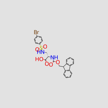 O=C(N[C@@H](CNS(=O)(=O)c1ccc(Br)cc1)C(=O)O)OCC1c2ccccc2-c2ccccc21